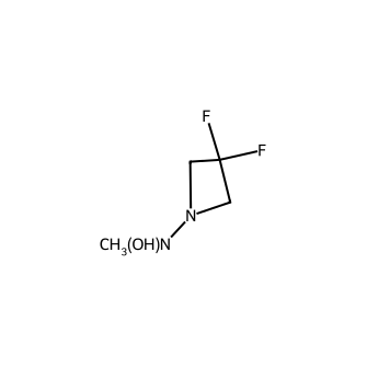 CN(O)N1CC(F)(F)C1